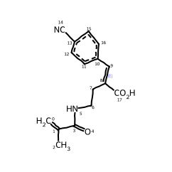 C=C(C)C(=O)NCC/C(=C\c1ccc(C#N)cc1)C(=O)O